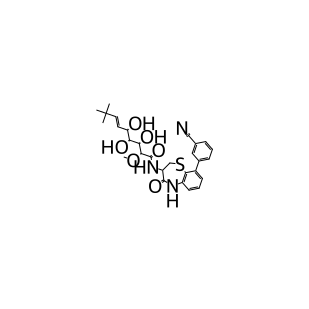 CO[C@@H](C(=O)NC1CSc2c(cccc2-c2cccc(C#N)c2)NC1=O)[C@H](O)[C@@H](O)[C@H](O)/C=C/C(C)(C)C